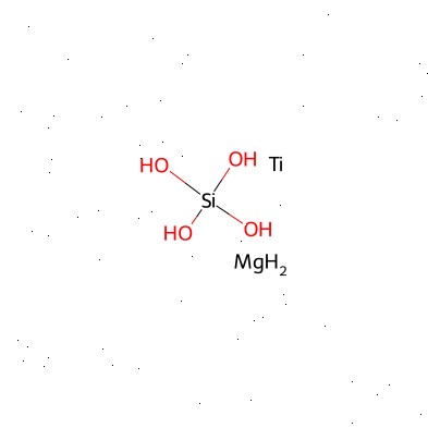 O[Si](O)(O)O.[MgH2].[Ti]